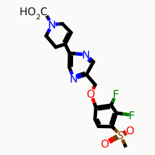 CS(=O)(=O)c1ccc(OCc2cnc(C3=CCN(C(=O)O)CC3)cn2)c(F)c1F